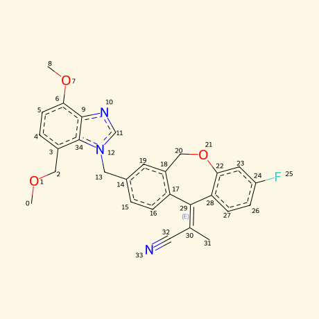 COCc1ccc(OC)c2ncn(Cc3ccc4c(c3)COc3cc(F)ccc3/C4=C(\C)C#N)c12